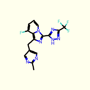 Cc1ncc(Cc2nc(-c3nc(C(F)(F)F)n[nH]3)n3cccc(F)c23)cn1